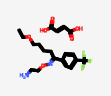 CCOCCCCC(=NOCCN)c1ccc(C(F)(F)F)cc1.O=C(O)C=CC(=O)O